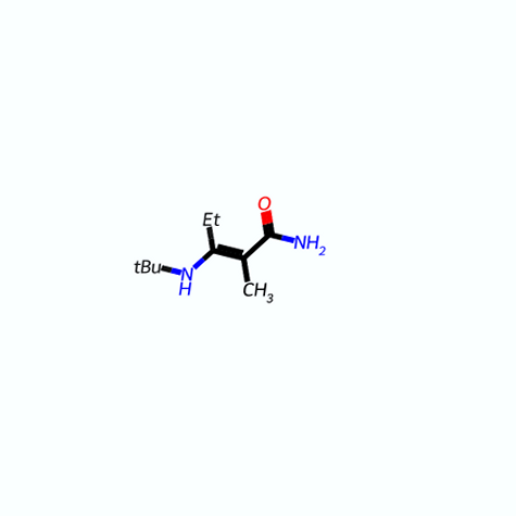 CC/C(NC(C)(C)C)=C(/C)C(N)=O